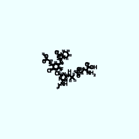 CCNc1nc(Cl)nc(NC(C)(C)C)n1.COC(=O)CSc1cc(/N=c2\sc(=O)n3n2CCCC3)c(F)cc1Cl.CP(=O)(O)CCC(N)C(=O)O